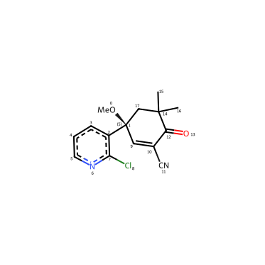 CO[C@]1(c2cccnc2Cl)C=C(C#N)C(=O)C(C)(C)C1